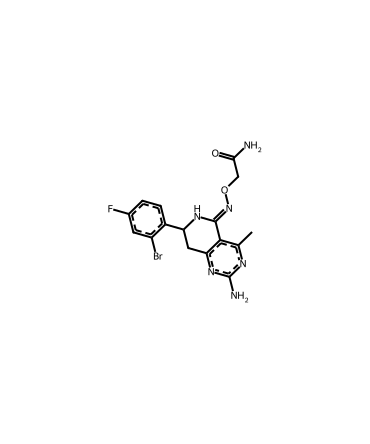 Cc1nc(N)nc2c1/C(=N/OCC(N)=O)NC(c1ccc(F)cc1Br)C2